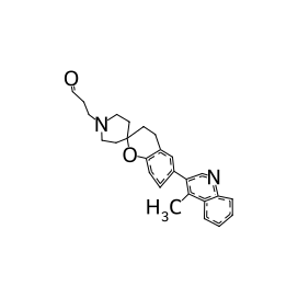 Cc1c(-c2ccc3c(c2)CCC2(CCN(CCC=O)CC2)O3)cnc2ccccc12